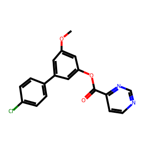 COc1cc(OC(=O)c2ccncn2)cc(-c2ccc(Cl)cc2)c1